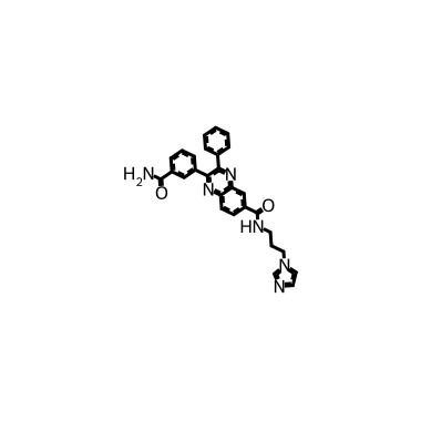 NC(=O)c1cccc(-c2nc3ccc(C(=O)NCCCn4ccnc4)cc3nc2-c2ccccc2)c1